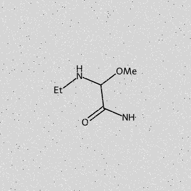 CCNC(OC)C([NH])=O